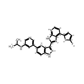 CC(C)Nc1cncc(-c2ccc3[nH]nc(-c4nc5c(-c6ccc(F)s6)ccnc5[nH]4)c3n2)c1